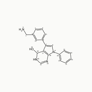 NCc1cccc(-c2cn(-c3ccccc3)c3c2C(O)NC=N3)c1